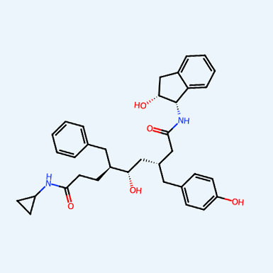 O=C(CC[C@@H](Cc1ccccc1)[C@@H](O)C[C@H](CC(=O)N[C@H]1c2ccccc2C[C@H]1O)Cc1ccc(O)cc1)NC1CC1